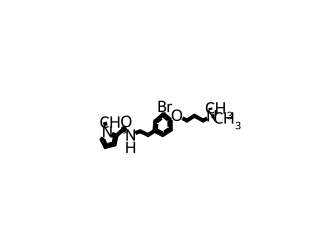 CN(C)CCCOc1ccc(CCNC(=O)c2cccn2C)cc1Br